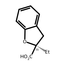 CC[C@@]1(C(=O)O)Cc2ccccc2O1